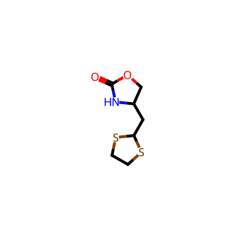 O=C1NC(CC2SCCS2)CO1